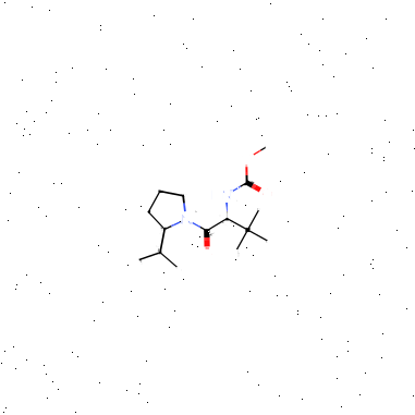 COC(=O)N[C@H](C(=O)N1CCCC1C(C)C)C(C)(C)C